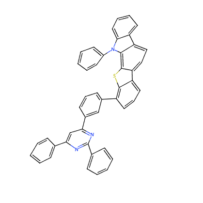 c1ccc(-c2cc(-c3cccc(-c4cccc5c4sc4c5ccc5c6ccccc6n(-c6ccccc6)c54)c3)nc(-c3ccccc3)n2)cc1